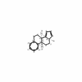 C[C@@]12C=CC=C1[C@@H]1CCc3ccccc3[C@H]1CC2